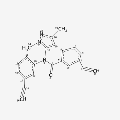 C#Cc1cccc(C(=O)N(c2cccc(C#C)c2)c2cc(C)nn2C)c1